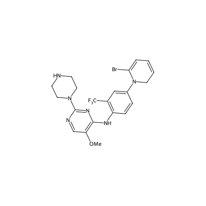 COc1cnc(N2CCNCC2)nc1Nc1ccc(N2CC=CC=C2Br)cc1C(F)(F)F